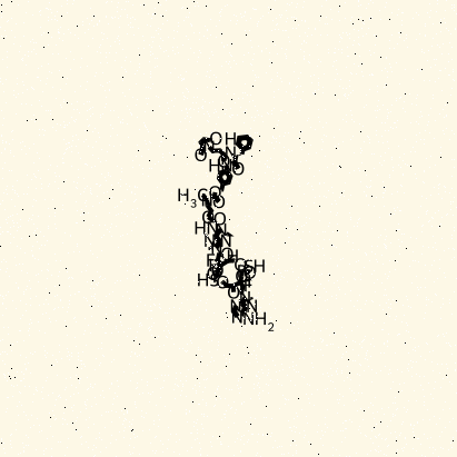 CN(CCOC(=O)Nc1ncnc2c1ncn2[C@@H]1O[C@@H]2CO[P@@](=O)(S)O[C@@H]3C(CO[P@@](=O)(S)O[C@H]2[C@H]1F)O[C@@H](n1cnc2c(N)ncnc21)[C@@H]3F)C(=O)OCc1ccc(NC(=O)[C@@H](Cc2ccccc2)NC(=O)CCN2C(=O)C=CC2=O)cc1